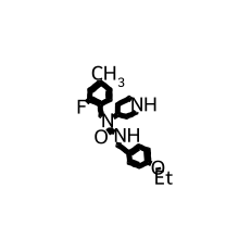 CCOc1ccc(CNC(=O)N(Cc2ccc(C)cc2F)C2CCNCC2)cc1